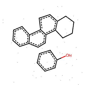 Oc1ccccc1.c1ccc2c(c1)ccc1c3c(ccc12)CCCC3